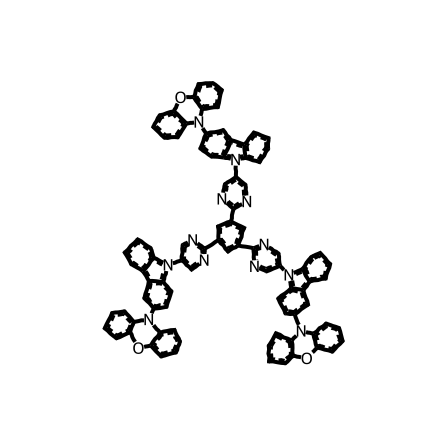 c1ccc2c(c1)Oc1ccccc1N2c1ccc2c(c1)c1ccccc1n2-c1cnc(-c2cc(-c3ncc(-n4c5ccccc5c5cc(N6c7ccccc7Oc7ccccc76)ccc54)cn3)cc(-c3ncc(-n4c5ccccc5c5cc(N6c7ccccc7Oc7ccccc76)ccc54)cn3)c2)nc1